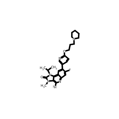 [2H]c1nc2cc(F)c(-c3ccc(OCCCN4CCCCC4)nc3)cc2c2c1n(C)c(=O)n2C(C)C